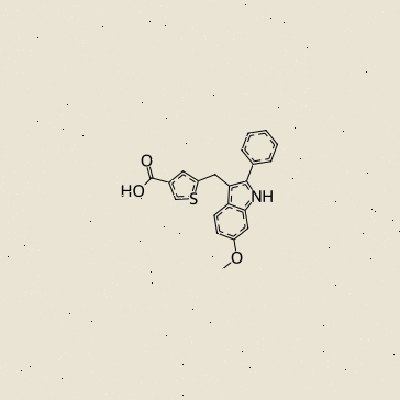 COc1ccc2c(Cc3cc(C(=O)O)cs3)c(-c3ccccc3)[nH]c2c1